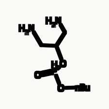 CCCCO[PH](=O)OC(CN)CN